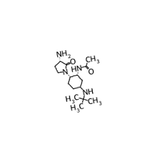 CC(=O)N[C@@H]1CC(NC(C)(C)C)CC[C@@H]1N1CC[C@H](N)C1=O